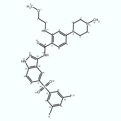 COCCNc1cc(N2CCN(C)CC2)ccc1C(=O)Nc1n[nH]c2ccc(S(=O)(=O)c3cc(F)cc(F)c3)cc12